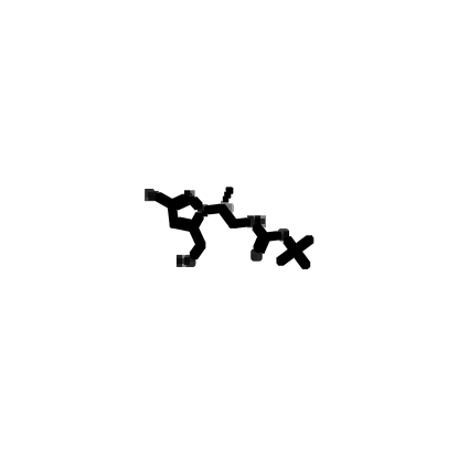 C[C@H](CNC(=O)OC(C)(C)C)n1nc(Br)cc1CO